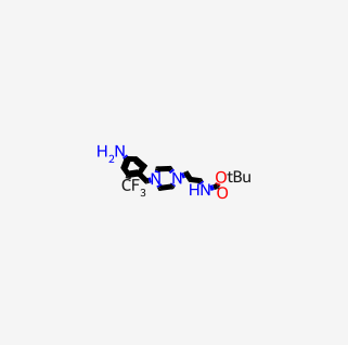 CC(C)(C)OC(=O)NCCCN1CCN(Cc2ccc(N)cc2C(F)(F)F)CC1